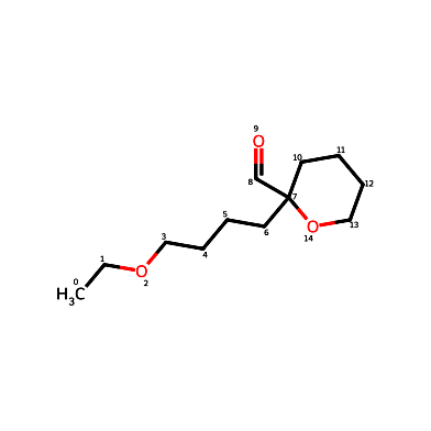 CCOCCCCC1(C=O)CCCCO1